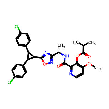 COc1ccnc(C(=O)N[C@@H](C)c2noc(C3C(c4ccc(Cl)cc4)C3c3ccc(Cl)cc3)n2)c1OC(=O)C(C)C